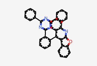 c1ccc(-c2nc(-c3ccccc3)nc(-c3ccccc3-c3c4ccccc4nc4oc5ccccc5c34)n2)cc1